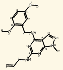 C=CCNc1nc(NCc2cc(OC)ccc2OC)c2cnn(C)c2n1